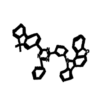 CC1(C)c2ccccc2-c2ccc(-c3nc(-c4ccccc4)nc(-c4cccc(-n5c6ccccc6c6ccc7oc8ccccc8c7c65)c4)n3)cc21